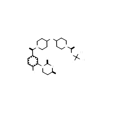 Cc1ccc(C(=O)N2CCC(OC3CCN(C(=O)OC(C)(C)C)CC3)CC2)cc1N1CCC(=O)NC1=O